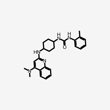 Cc1ccccc1NC(=O)NC1CCC(Nc2cc(N(C)C)c3ccccc3n2)CC1